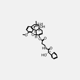 COc1ccc2c3c1O[C@@H]1C(OC(=O)CCNC(=O)[C@@H](O)c4ccccc4)=CC[C@]4(O)[C@H](C2)N(C)CC[C@@]314